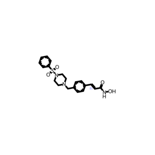 O=C(/C=C/c1ccc(CN2CCN(S(=O)(=O)c3ccccc3)CC2)cc1)NO